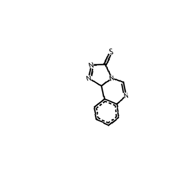 S=C1N=NC2c3ccccc3N=CN12